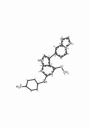 COc1nc(NC2CCC(C)CC2)nc2[nH]cc(-c3ccn4ncnc4c3)c12